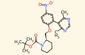 Cc1ncnc(C)c1-c1cc([N+](=O)[O-])ccc1OC[C@H]1CCCCN1C(=O)OC(C)(C)C